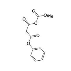 COC(=O)OC(=O)CC(=O)Oc1ccccc1